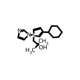 CC(C)(O)CS1(n2ccnc2)C=CC(C2CCCCC2)=C1